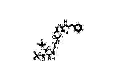 Cc1cnc(NCCc2ccccc2)c(=O)n1CC(=O)NCCONC(=N)N(C(=O)OC(C)(C)C)C(=O)OC(C)(C)C